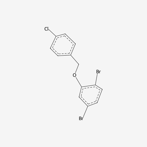 Clc1ccc(COc2cc(Br)ccc2Br)cc1